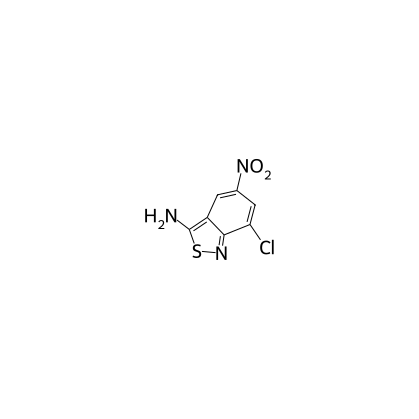 Nc1snc2c(Cl)cc([N+](=O)[O-])cc12